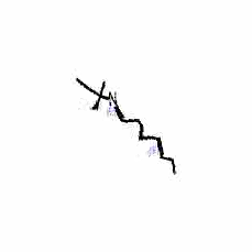 CC/C=C/CC/C=N/C(C)(C)C